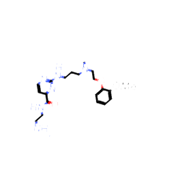 COc1ccccc1OCCN(C)CCCNc1nccc(C(=O)NCCN)n1